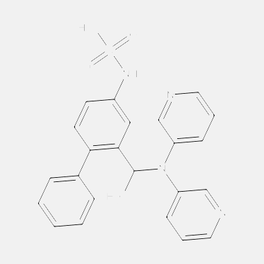 CC(c1cc(NS(C)(=O)=O)ccc1-c1ccccc1)N(c1cccnc1)c1cccnc1